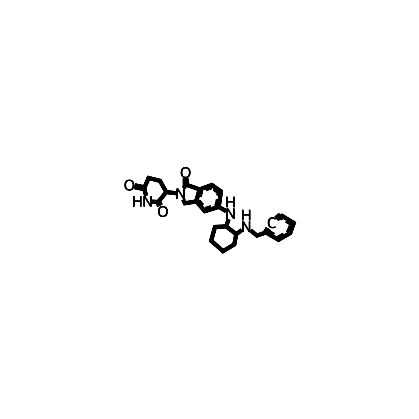 O=C1CCC(N2Cc3cc(NC4CCCCC4NCc4ccccc4)ccc3C2=O)C(=O)N1